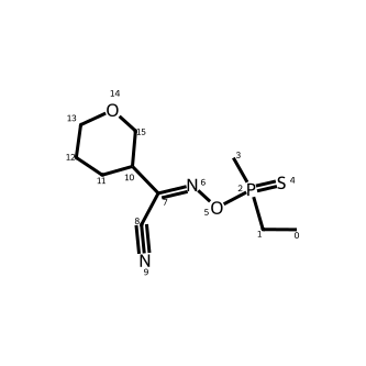 CCP(C)(=S)ON=C(C#N)C1CCCOC1